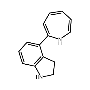 C1=CC=C(c2cccc3c2CCN3)NC=C1